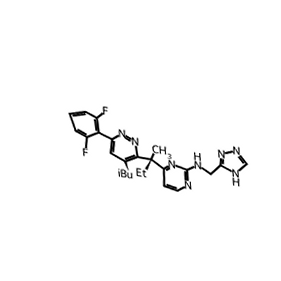 CC[C@H](C)c1cc(-c2c(F)cccc2F)nnc1[C@@](C)(CC)c1ccnc(NCc2nnc[nH]2)n1